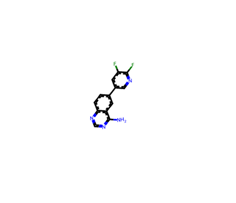 Nc1ncnc2ccc(-c3cnc(F)c(F)c3)cc12